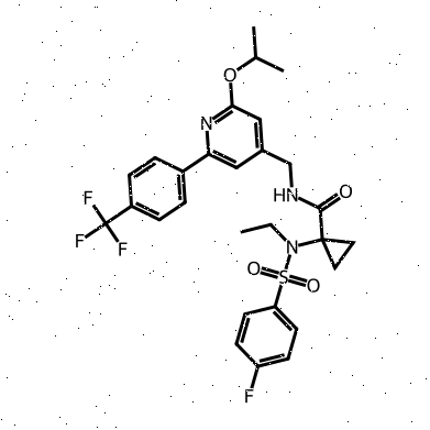 CCN(C1(C(=O)NCc2cc(OC(C)C)nc(-c3ccc(C(F)(F)F)cc3)c2)CC1)S(=O)(=O)c1ccc(F)cc1